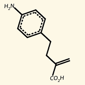 C=C(CCc1ccc(N)cc1)C(=O)O